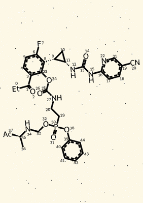 CCC(=O)c1ccc(F)c([C@@H]2C[C@@H]2NC(=O)Nc2ccc(C#N)cn2)c1OC(=O)NCCP(=O)(OCN[C@@H](C)C(C)=O)Oc1ccccc1